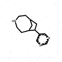 c1ncc(C2CC3CCNCCC2C3)cn1